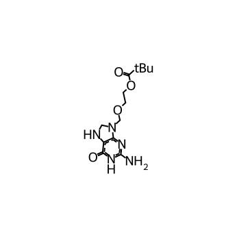 CC(C)(C)C(=O)OCCOCN1CNc2c1nc(N)[nH]c2=O